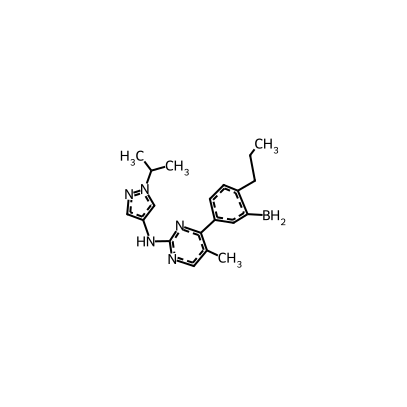 Bc1cc(-c2nc(Nc3cnn(C(C)C)c3)ncc2C)ccc1CCC